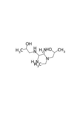 CCN(CC(C)O)C(N)C(N)NCC(C)O